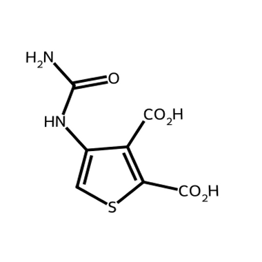 NC(=O)Nc1csc(C(=O)O)c1C(=O)O